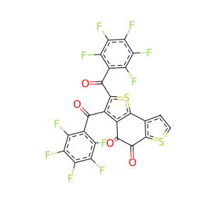 O=C1C(=O)c2c(sc(C(=O)c3c(F)c(F)c(F)c(F)c3F)c2C(=O)c2c(F)c(F)c(F)c(F)c2F)-c2ccsc21